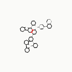 C1=Cc2c(cccc2C2=CCC(N(c3ccc(-c4cccc(-c5ccccc5-n5c6ccccc6c6ccccc65)c4)cc3)c3ccccc3-c3cccc4c3oc3ccccc34)C=C2)CC1